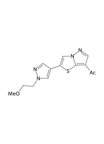 COCCn1cc(-c2cn3ncc(C(C)=O)c3s2)cn1